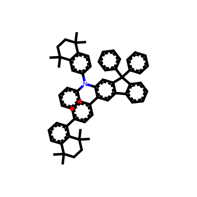 CC1(C)CCC(C)(C)c2cc(N(c3ccccc3)c3cc4c(cc3-c3ccc(-c5cccc6c5C(C)(C)CCC6(C)C)cc3)-c3ccccc3C4(c3ccccc3)c3ccccc3)ccc21